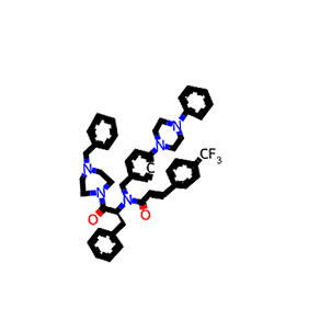 O=C([C@H](Cc1ccccc1)N(Cc1ccc(N2CCN(c3ccccc3)CC2)cc1)C(=O)/C=C/c1ccc(C(F)(F)F)cc1)N1CCN(Cc2ccccc2)CC1